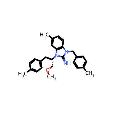 COC[C@H](Cc1ccc(C)cc1)n1c(=N)n(Cc2ccc(C)cc2)c2ccc(C)cc21